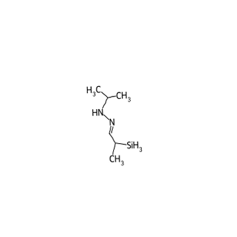 CC([SiH3])/C=N/NC(C)C